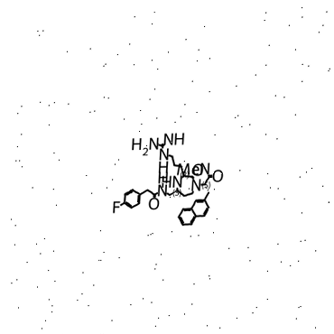 CNC(=O)[C@H](Cc1ccc2ccccc2c1)N1CC[C@@H](CNC(=O)Cc2ccc(F)cc2)N[C@H](CCCNC(=N)N)C1=O